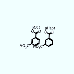 CCCCCCCCOC(=O)c1cccc(C(=O)O)c1.CCCCCCCOC(=O)c1cccc(C(=O)O)c1